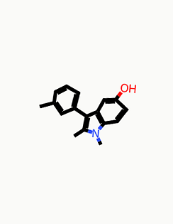 Cc1cccc(-c2c(C)n(C)c3ccc(O)cc23)c1